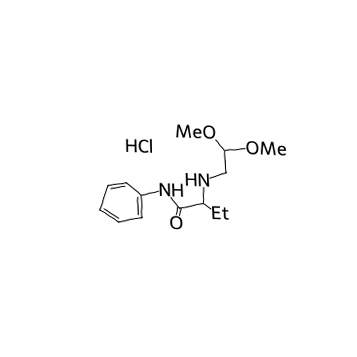 CCC(NCC(OC)OC)C(=O)Nc1ccccc1.Cl